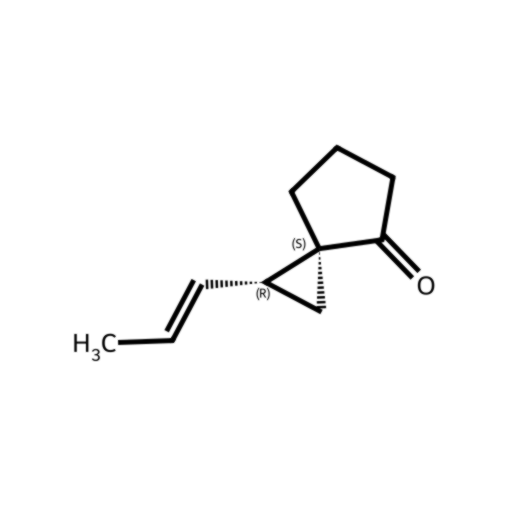 CC=C[C@H]1C[C@@]12CCCC2=O